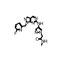 CNC(=O)Cn1cc(Nc2ncc3cnn(Cc4cccc(F)n4)c3n2)cn1